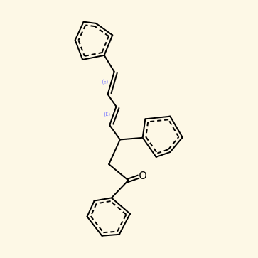 O=C(CC(/C=C/C=C/c1ccccc1)c1ccccc1)c1ccccc1